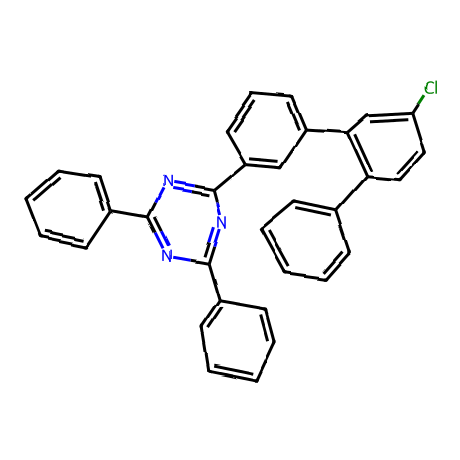 Clc1ccc(-c2ccccc2)c(-c2cccc(-c3nc(-c4ccccc4)nc(-c4ccccc4)n3)c2)c1